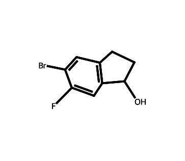 OC1CCc2cc(Br)c(F)cc21